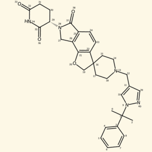 CC(C)(c1ccccc1)n1cc(CN2CCC3(CC2)COc2c3ccc3c2CN([C@H]2CCC(=O)NC2=O)C3=O)cn1